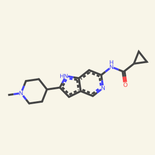 CN1CCC(c2cc3cnc(NC(=O)C4CC4)cc3[nH]2)CC1